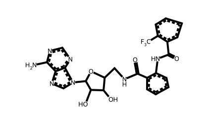 Nc1ncnc2c1ncn2C1OC(CNC(=O)c2ccccc2NC(=O)c2ccccc2C(F)(F)F)C(O)C1O